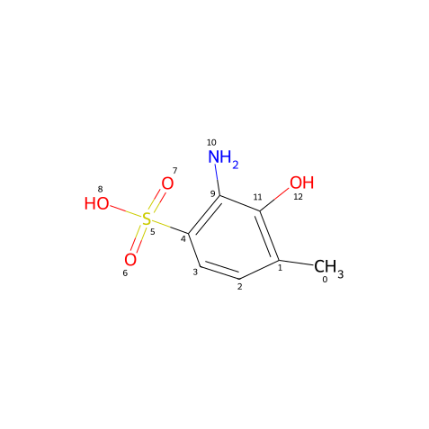 Cc1ccc(S(=O)(=O)O)c(N)c1O